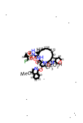 COc1cnc(O[C@@H]2C[C@H]3C(=O)N[C@]4(C(=O)NS(=O)(=O)C5(CF)CC5)C[C@H]4/C=C\CC[C@H](C)C[C@@H](C)[C@H](N(C(=O)O)C4CCCOC4)C(=O)N3C2C(F)(F)F)c2ccccc12